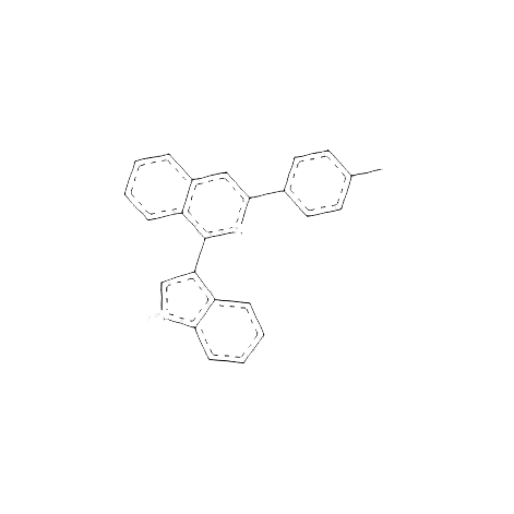 Fc1ccc(-c2cc3ccccc3c(-c3c[nH]c4ccccc34)n2)cc1